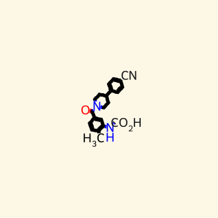 Cc1ccc(C(=O)N2CCC(c3ccc(C#N)cc3)CC2)cc1NC(=O)O